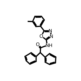 Cc1cccc(-c2nnc(NC(=O)C(c3ccccc3)c3ccccc3)o2)c1